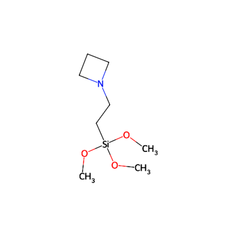 CO[Si](CCN1CCC1)(OC)OC